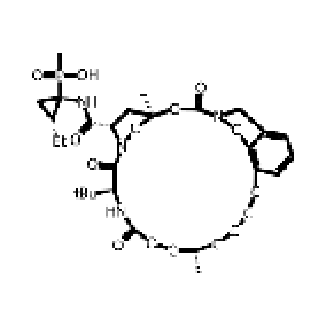 CC[C@@H]1C[C@]1(NC(=O)[C@@H]1C[C@@H]2CN1C(=O)[C@H](C(C)(C)C)NC(=O)OC[C@@H](C)CCCCc1cccc3c1CN(C3)C(=O)O2)P(C)(=O)O